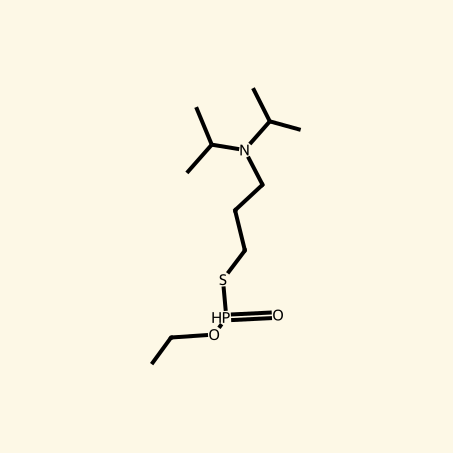 CCO[PH](=O)SCCCN(C(C)C)C(C)C